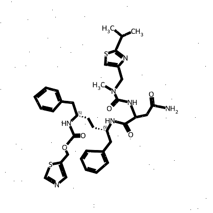 CC(C)c1nc(CN(C)C(=O)NC(CC(N)=O)C(=O)N[C@@H](CC[C@@H](Cc2ccccc2)NC(=O)OCc2cncs2)Cc2ccccc2)cs1